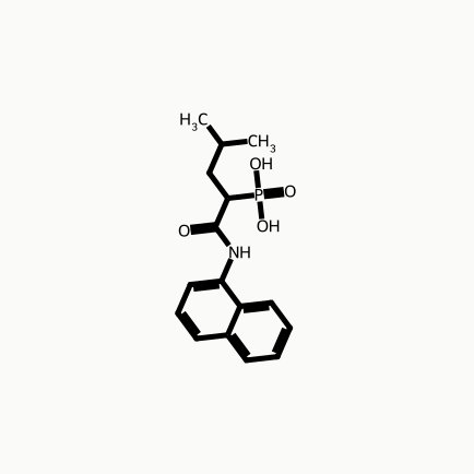 CC(C)CC(C(=O)Nc1cccc2ccccc12)P(=O)(O)O